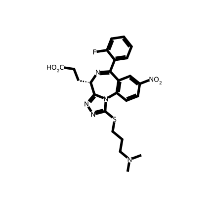 CN(C)CCCSc1nnc2n1-c1ccc([N+](=O)[O-])cc1C(c1ccccc1F)=N[C@H]2CCC(=O)O